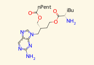 CCCCCC(=O)OC[C@H](CCOC(=O)[C@@H](N)[C@@H](C)CC)Cn1cnc2cnc(N)nc21